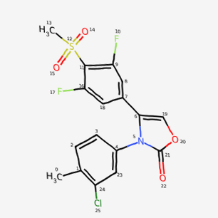 Cc1ccc(-n2c(-c3cc(F)c(S(C)(=O)=O)c(F)c3)coc2=O)cc1Cl